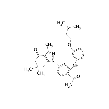 Cc1nn(-c2ccc(C(N)=O)c(Nc3cccc(OCCN(C)C)c3)c2)c2c1C(=O)CC(C)(C)C2